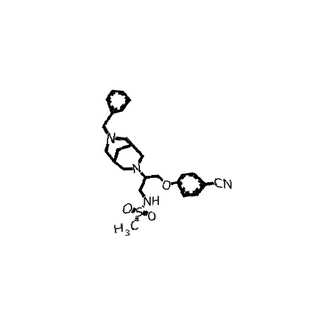 CS(=O)(=O)NCC(COc1ccc(C#N)cc1)N1CC2CC(CN(Cc3ccccc3)C2)C1